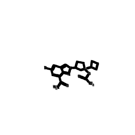 NC(=O)c1cc(F)cc2cn(C3CC[N+](OC(=O)C(F)(F)F)(C4CCC4)C3)nc12